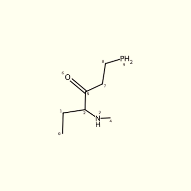 CCC(NC)C(=O)CCP